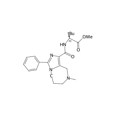 COC(=O)[C@@H](NC(=O)c1nc(-c2ccccc2)n2c1CN(C)CCC2)C(C)(C)C